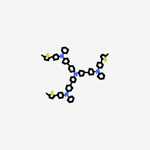 Cc1ccc(-c2ccc(N(c3ccccc3)c3ccc(-c4ccc(N(c5ccc(-c6ccc(N(c7ccccc7)c7ccc(-c8ccc(C)s8)cc7)cc6)cc5)c5ccc(-c6ccc(N(c7ccccc7)c7ccc(-c8ccc(C)s8)cc7)cc6)cc5)cc4)cc3)cc2)s1